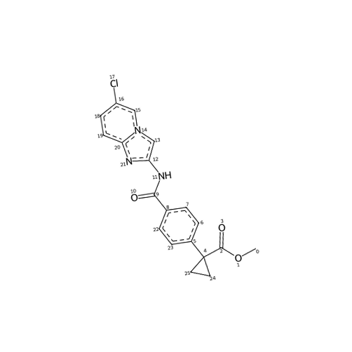 COC(=O)C1(c2ccc(C(=O)Nc3cn4cc(Cl)ccc4n3)cc2)CC1